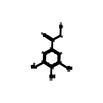 CC(C)(C)c1cc(C(=O)C[N])cc(C(C)(C)C)c1O